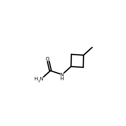 CC1CC(NC(N)=O)C1